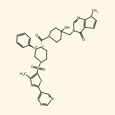 Cc1nc(-c2cncnc2)sc1S(=O)(=O)N1CC[C@@H](C(=O)N2CCC(O)(Cn3cnc4c(ccn4C)c3=O)CC2)[C@H](c2ccccc2)C1